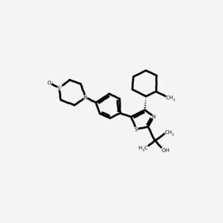 CC1CCCC[C@H]1c1nc(C(C)(C)O)sc1-c1ccc(N2CC[S+]([O-])CC2)cc1